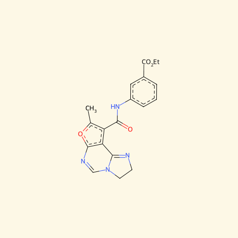 CCOC(=O)c1cccc(NC(=O)c2c(C)oc3c2C2=NCCN2C=N3)c1